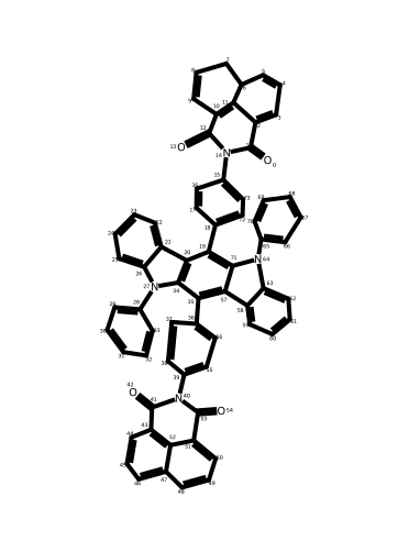 O=C1C2=CC=CC3CC=CC(=C23)C(=O)N1c1ccc(-c2c3c4ccccc4n(-c4ccccc4)c3c(-c3ccc(N4C(=O)c5cccc6cccc(c56)C4=O)cc3)c3c4ccccc4n(-c4ccccc4)c23)cc1